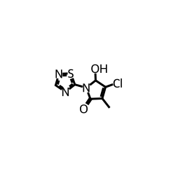 CC1=C(Cl)C(O)N(c2ncns2)C1=O